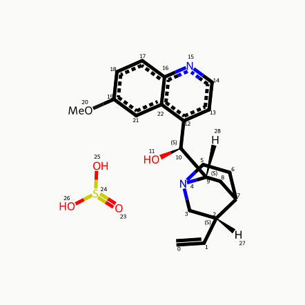 C=C[C@@H]1CN2CCC1C[C@H]2[C@@H](O)c1ccnc2ccc(OC)cc12.O=S(O)O